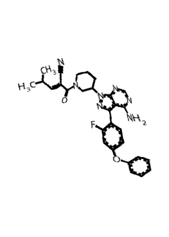 CC(C)C=C(C#N)C(=O)N1CCCC(n2nc(-c3ccc(Oc4ccccc4)cc3F)c3c(N)ncnc32)C1